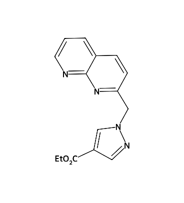 CCOC(=O)c1cnn(Cc2ccc3cccnc3n2)c1